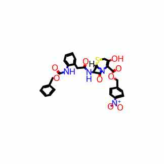 O=C(Cc1ccccc1NC(=O)OCc1ccccc1)NC1C(=O)N2C(C(=O)OCc3ccc([N+](=O)[O-])cc3)=C(O)CS[C@H]12